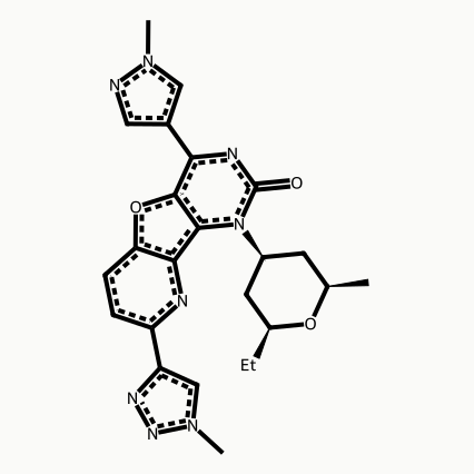 CC[C@H]1C[C@@H](n2c(=O)nc(-c3cnn(C)c3)c3oc4ccc(-c5cn(C)nn5)nc4c32)C[C@@H](C)O1